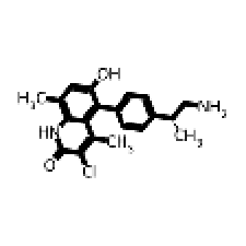 Cc1cc(O)c(-c2ccc([C@@H](C)CN)cc2)c2c(C)c(Cl)c(=O)[nH]c12